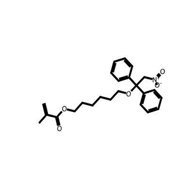 C=C(C)C(=O)OCCCCCCOC(C[N+](=O)[O-])(c1ccccc1)c1ccccc1